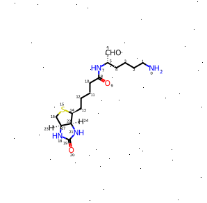 NCCCC[C@@H]([C]=O)NC(=O)CCCC[C@@H]1SC[C@@H]2NC(=O)N[C@@H]21